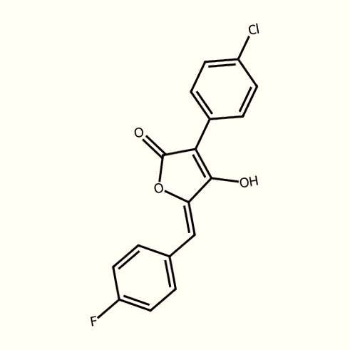 O=C1O/C(=C\c2ccc(F)cc2)C(O)=C1c1ccc(Cl)cc1